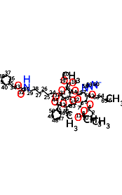 CCCCOC1C(COC(C)=O)OC(OC2C(C(=O)OC)OC(OCCCCCCNC(=O)OCc3ccccc3)C(OC(=O)c3ccccc3)C2OCCCC)C(N=[N+]=[N-])C1OCCCC